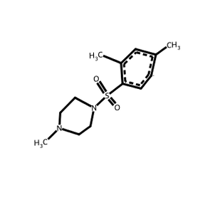 Cc1[c]cc(S(=O)(=O)N2CCN(C)CC2)c(C)c1